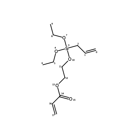 C=CC[Si](OCC)(OCC)OCCOC(=O)C=C